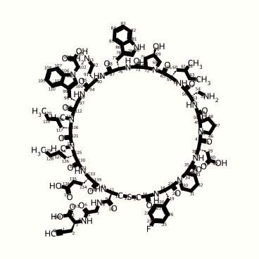 C#CC[C@H](NC(=O)CNC(=O)[C@@H]1CSCC(=O)N[C@@H](Cc2ccc(F)cc2)C(=O)N2CCCC[C@H]2C(=O)N[C@@H](CC(=O)O)C(=O)N2CCC[C@H]2C(=O)N[C@@H](CN)C(=O)N[C@@H](CC(C)CC)C(=O)N2C[C@H](O)C[C@H]2C(=O)N[C@@H](Cc2c[nH]c3ccccc23)C(=O)N[C@@H](CCN)C(=O)N[C@@H](Cc2cn(CC(=O)O)c3ccccc23)C(=O)N(C)[C@@H](CCCC)C(=O)N(C)[C@@H](CCCC)C(=O)N[C@@H](CCC(=O)O)C(=O)N1)C(=O)O